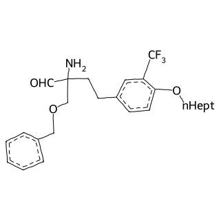 CCCCCCCOc1ccc(CCC(N)(C=O)COCc2ccccc2)cc1C(F)(F)F